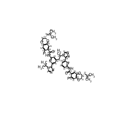 CC(C)n1cnnc1-c1cc(CC(C)n2cnnc2-c2cccc(NC(=O)c3cc4c(cc3F)OC[C@@H](CN(C)C)O4)n2)cc(NC(=O)c2cc3c(cc2F)OC[C@H](CN(C)C)O3)n1